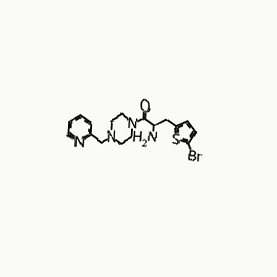 NC(Cc1ccc(Br)s1)C(=O)N1CCN(Cc2ccccn2)CC1